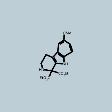 CCOC(=O)C1(C(=O)OCC)NCCc2c1[nH]c1ccc(OC)cc21